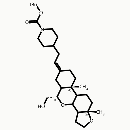 CC(C)(C)OC(=O)N1CCC(CC=C2CC[C@]3(C)C4CC[C@]5(C)OCCC5C4O[C@H](CO)C3C2)CC1